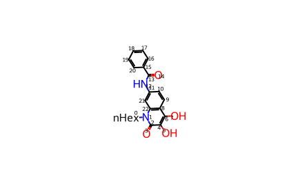 CCCCCCn1c(=O)c(O)c(O)c2ccc(NC(=O)c3ccccc3)cc21